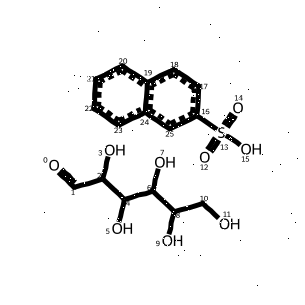 O=CC(O)C(O)C(O)C(O)CO.O=S(=O)(O)c1ccc2ccccc2c1